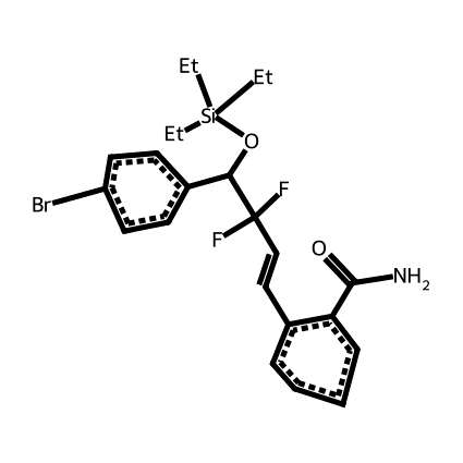 CC[Si](CC)(CC)OC(c1ccc(Br)cc1)C(F)(F)C=Cc1ccccc1C(N)=O